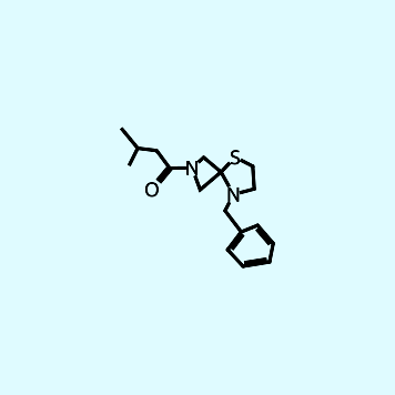 CC(C)CC(=O)N1CC2(C1)SCCN2Cc1ccccc1